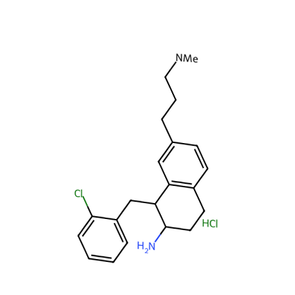 CNCCCc1ccc2c(c1)C(Cc1ccccc1Cl)C(N)CC2.Cl